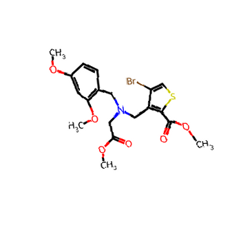 COC(=O)CN(Cc1ccc(OC)cc1OC)Cc1c(Br)csc1C(=O)OC